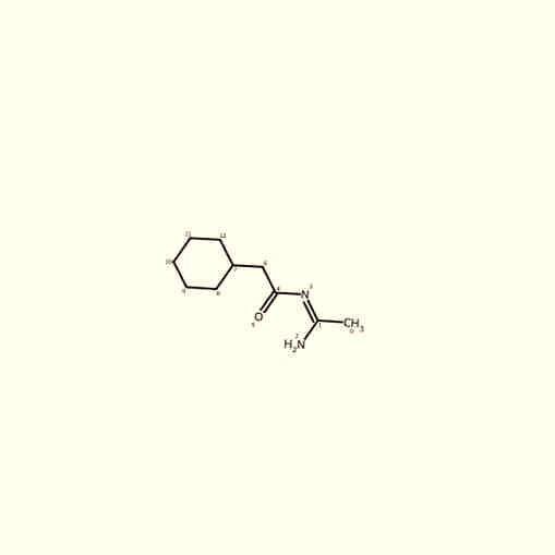 C/C(N)=N/C(=O)CC1CCCCC1